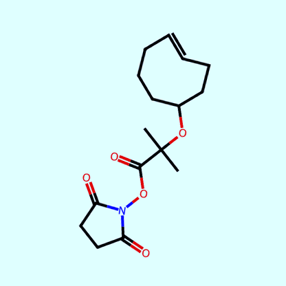 CC(C)(OC1CC/C=C/CCC1)C(=O)ON1C(=O)CCC1=O